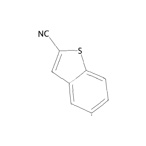 N#Cc1cc2c[c]ccc2s1